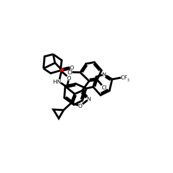 O=C(Nc1cccc(-c2ccc(C(F)(F)F)nc2)c1)C1C2CC(OCc3c(-c4c(Cl)cccc4Cl)noc3C3CC3)CC1C2